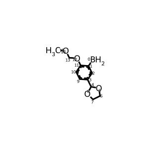 Bc1cc(C2OCCO2)ccc1OCOC